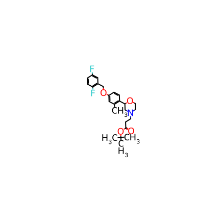 Cc1cc(OCc2cc(F)ccc2F)ccc1C1CN(CCC(=O)OC(C)(C)C)CCO1